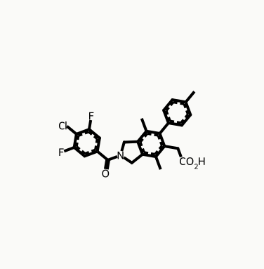 Cc1ccc(-c2c(C)c3c(c(C)c2CC(=O)O)CN(C(=O)c2cc(F)c(Cl)c(F)c2)C3)cc1